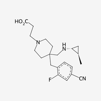 C[C@@H]1C[C@H]1NCC1(Cc2ccc(C#N)cc2F)CCN(CCC(=O)O)CC1